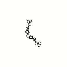 C=CC(=O)OCCOc1ccc(Oc2ccc(OCCOC(=O)C=C)cc2)cc1